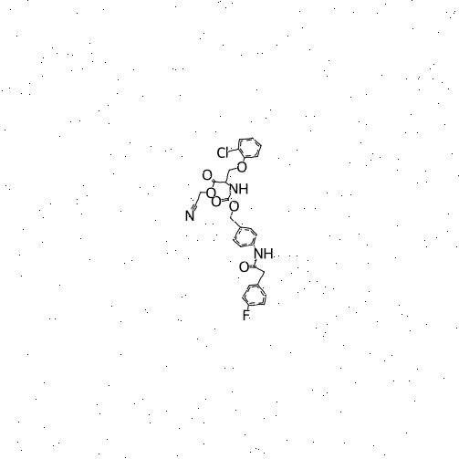 N#CCOC(=O)C(COc1ccccc1Cl)NC(=O)OCc1ccc(NC(=O)Cc2ccc(F)cc2)cc1